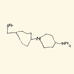 CC(C)CC1CCC(N2CCC(N)CC2)CC1